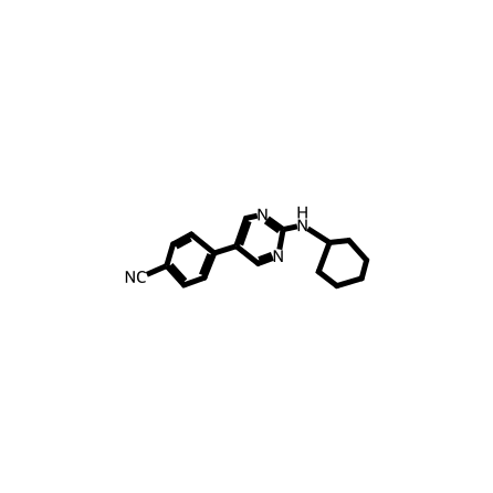 N#Cc1ccc(-c2cnc(NC3CCCCC3)nc2)cc1